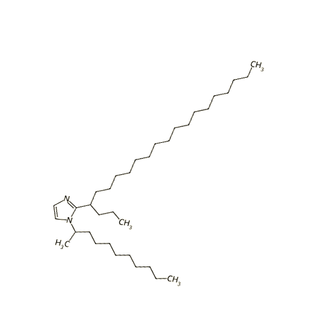 CCCCCCCCCCCCCCCCCC(CCC)c1nccn1C(C)CCCCCCCCC